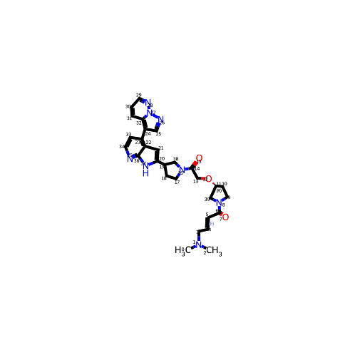 CN(C)C/C=C/C(=O)N1CC[C@@H](OCC(=O)N2CCC(c3cc4c(-c5cnn6ncccc56)ccnc4[nH]3)C2)C1